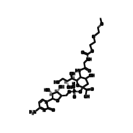 COCCOCCOC(=O)NCC(=O)NC1C(O)CC(OP(=O)(O)OCC2OC(n3ccc(N)nc3=O)[C@H](O)[C@@H]2O)(C(=O)O)OC1[C@H](O)[C@H](O)CO